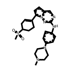 CN1CCN(c2ccc(Nc3ncc4ccc(C5=CCC(S(C)(=O)=O)CC5)n4n3)cc2)CC1